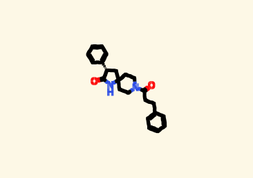 O=C1NC2(CCN(C(=O)CCc3ccccc3)CC2)C[C@H]1c1ccccc1